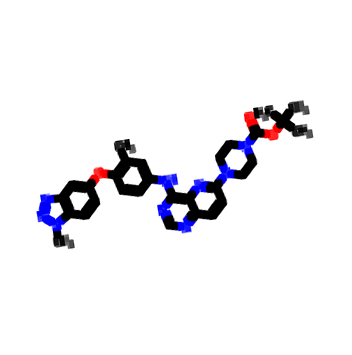 Cc1cc(Nc2ncnc3ccc(N4CCN(C(=O)OC(C)(C)C)CC4)nc23)ccc1Oc1ccc2c(c1)nnn2C